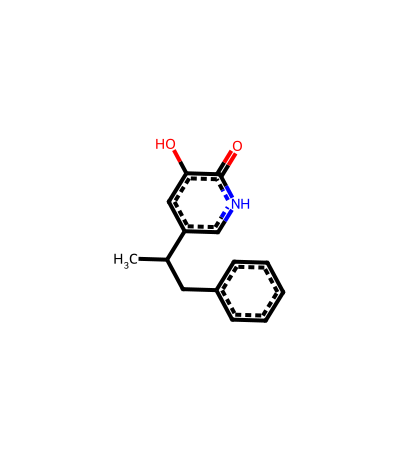 CC(Cc1ccccc1)c1c[nH]c(=O)c(O)c1